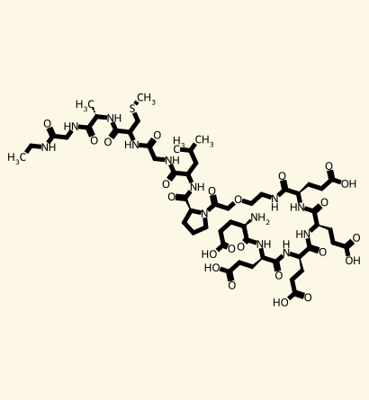 CCNC(=O)CNC(=O)[C@H](C)NC(=O)C(CSC)NC(=O)CNC(=O)C(CC(C)C)NC(=O)[C@@H]1CCCN1C(=O)COCCNC(=O)[C@@H](CCC(=O)O)NC(=O)[C@@H](CCC(=O)O)NC(=O)[C@@H](CCC(=O)O)NC(=O)[C@@H](CCC(=O)O)NC(=O)[C@H](N)CCC(=O)O